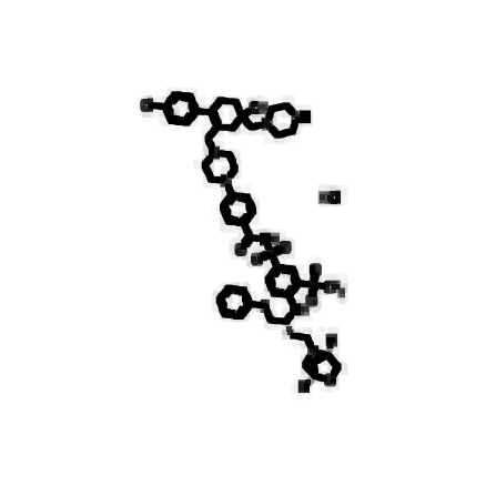 CC1(CN2CCNCC2)CCC(c2ccc(Cl)cc2)=C(CN2CCN(c3ccc(C(=O)NS(=O)(=O)c4ccc(N[C@H](CCN5C[C@H]6C[C@@H]5CO6)CSc5ccccc5)c(S(=O)(=O)C(F)(F)F)c4)cc3)CC2)C1.Cl